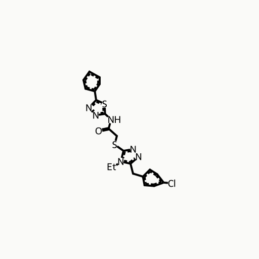 CCn1c(Cc2ccc(Cl)cc2)nnc1SCC(=O)Nc1nnc(-c2ccccc2)s1